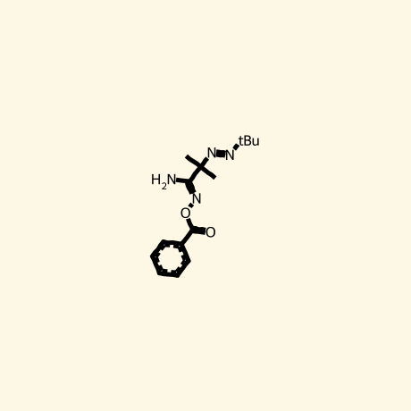 CC(C)(C)N=NC(C)(C)C(N)=NOC(=O)c1ccccc1